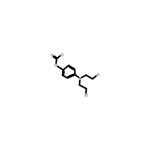 O=C(Cl)Oc1ccc(N(CCCl)CCCl)cc1